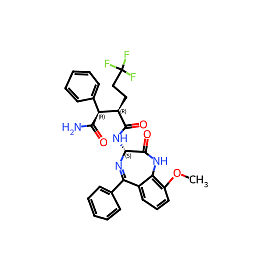 COc1cccc2c1NC(=O)[C@@H](NC(=O)[C@H](CCC(F)(F)F)[C@@H](C(N)=O)c1ccccc1)N=C2c1ccccc1